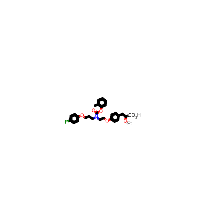 CCOC(Cc1ccc(OCCN(CCCOc2ccc(F)cc2)C(=O)Oc2ccccc2C)cc1)C(=O)O